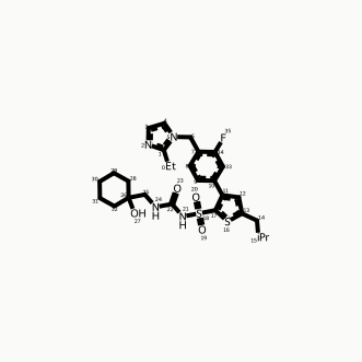 CCc1nccn1Cc1ccc(-c2cc(CC(C)C)sc2S(=O)(=O)NC(=O)NCC2(O)CCCCC2)cc1F